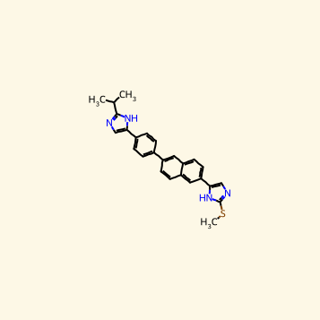 CSc1ncc(-c2ccc3cc(-c4ccc(-c5cnc(C(C)C)[nH]5)cc4)ccc3c2)[nH]1